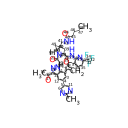 C=Cc1cc(-c2cnc(C)nc2)cc2c(C(C)=O)nn(CC(=O)N3[C@H](C(=O)Nc4nc(C(F)(F)F)ccc4C)C[C@@]4(CNC(=O)CCCC)C[C@@H]34)c12